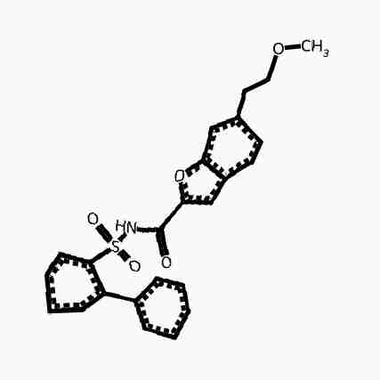 COCCc1ccc2cc(C(=O)NS(=O)(=O)c3ccccc3-c3ccccc3)oc2c1